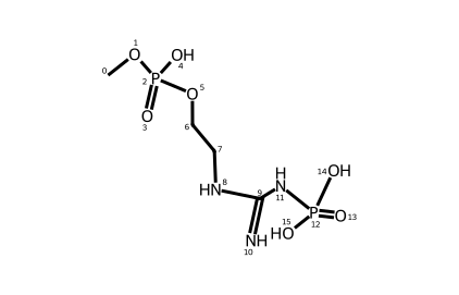 COP(=O)(O)OCCNC(=N)NP(=O)(O)O